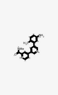 CNC(=O)c1cc(-c2cncc(-c3cc(N)ccc3C)c2)ccn1